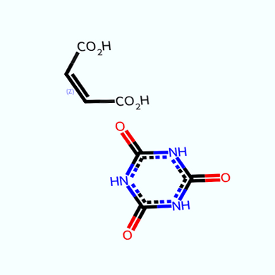 O=C(O)/C=C\C(=O)O.O=c1[nH]c(=O)[nH]c(=O)[nH]1